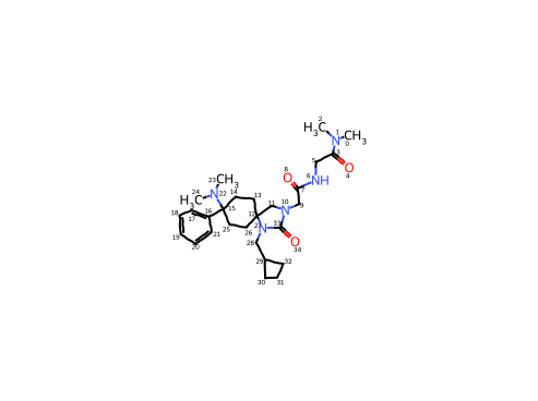 CN(C)C(=O)CNC(=O)CN1CC2(CCC(c3ccccc3)(N(C)C)CC2)N(CC2CCC2)C1=O